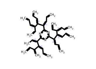 C=C\C=C(C=C)/C(=C\C=C)C(=C\C=C)/c1nc(C(=C/C)/C(=C/C=C)C(=C)C=C)nc(C(=C/C=C)/C(=C/C=C)C(/C=C)=C\C=C)n1